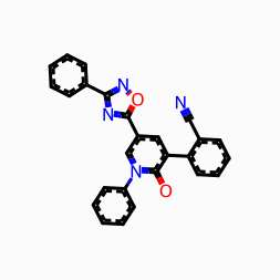 N#Cc1ccccc1-c1cc(-c2nc(-c3ccccc3)no2)cn(-c2ccccc2)c1=O